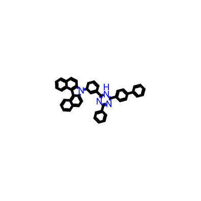 C1=CC(C2=NC(c3ccccc3)=NC(c3ccc(-c4ccccc4)cc3)N2)=CC(n2c3ccc4ccccc4c3c3c4ccccc4ccc32)C1